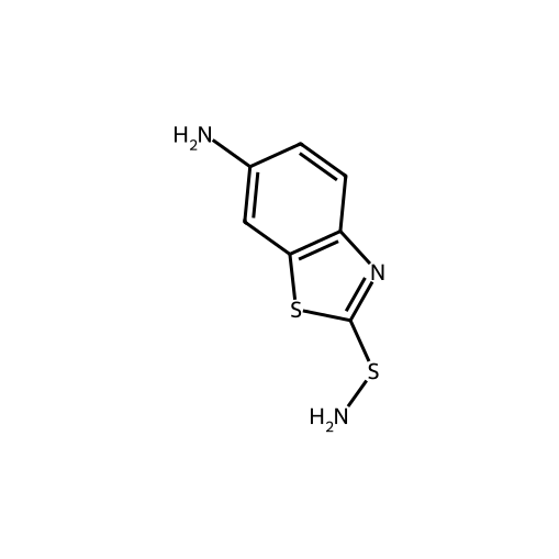 NSc1nc2ccc(N)cc2s1